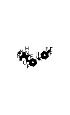 Cc1ncnc2[nH]cc(C(=O)c3c(F)ccc(NSc4ccc(C(F)(F)F)cc4)c3F)c12